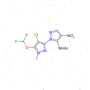 CC(=O)Nc1c([N+](=O)[O-])cnn1-c1nn(C)c(OC(F)F)c1Cl